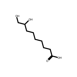 O=C(O)CCCCCCC(O)CO